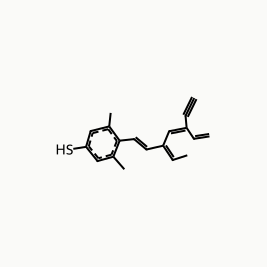 C#C/C(C=C)=C/C(=C\C)/C=C/c1c(C)cc(S)cc1C